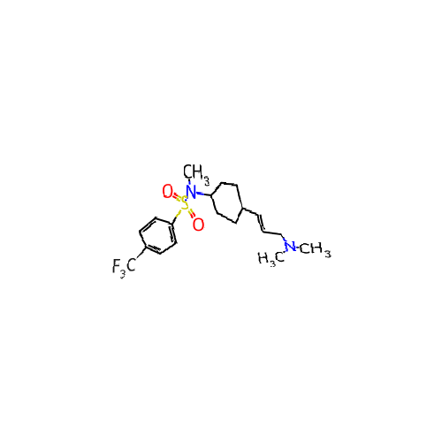 CN(C)C/C=C/C1CCC(N(C)S(=O)(=O)c2ccc(C(F)(F)F)cc2)CC1